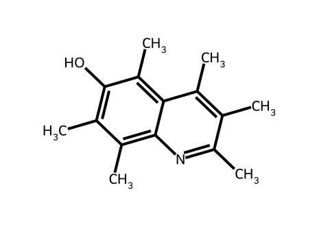 Cc1nc2c(C)c(C)c(O)c(C)c2c(C)c1C